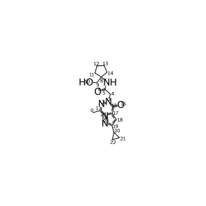 Cc1nn(CC(=O)NC2(CO)CCCC2)c(=O)c2cc(C3CC3)nn12